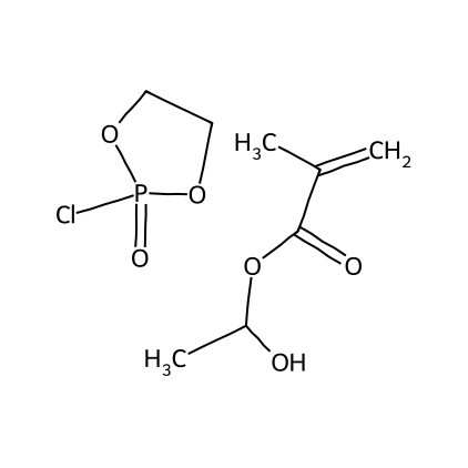 C=C(C)C(=O)OC(C)O.O=P1(Cl)OCCO1